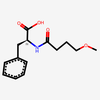 COCCCC(=O)N[C@@H](Cc1ccccc1)C(=O)O